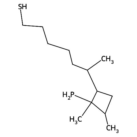 CC(CCCCCS)C1CC(C)C1(C)P